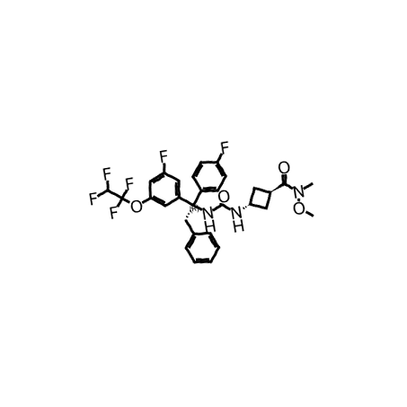 CON(C)C(=O)[C@H]1C[C@H](NC(=O)N[C@](Cc2ccccc2)(c2ccc(F)cc2)c2cc(F)cc(OC(F)(F)C(F)F)c2)C1